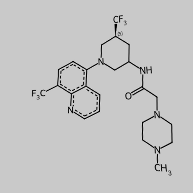 CN1CCN(CC(=O)NC2C[C@H](C(F)(F)F)CN(c3ccc(C(F)(F)F)c4ncccc34)C2)CC1